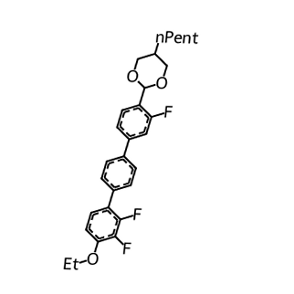 CCCCCC1COC(c2ccc(-c3ccc(-c4ccc(OCC)c(F)c4F)cc3)cc2F)OC1